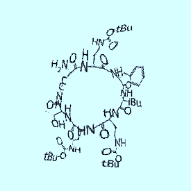 CC[C@H](C)[C@@H]1NC(=O)[C@@H](Cc2ccccc2)NC(=O)[C@H](CCNC(=O)OC(C)(C)C)NC(=O)[C@@H](N)CCNC(=O)[C@H]([C@@H](C)O)NC(=O)[C@H](CCNC(=O)OC(C)(C)C)NC(=O)[C@H](CCNC(=O)OC(C)(C)C)NC1=O